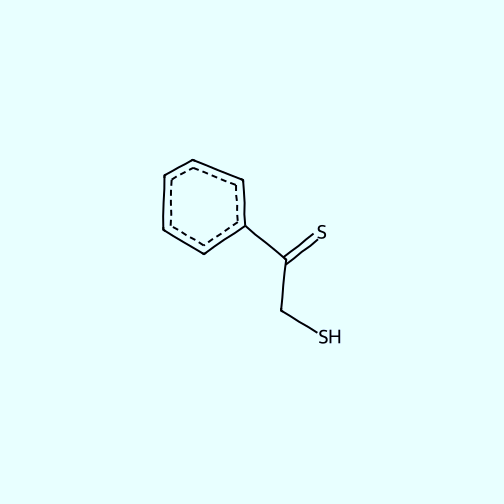 S=C(CS)c1ccccc1